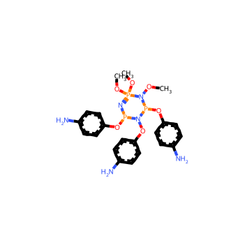 CON1P(Oc2ccc(N)cc2)N(Oc2ccc(N)cc2)P(Oc2ccc(N)cc2)N=P1(OC)OC